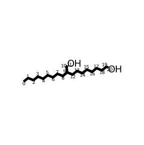 CCCCCCCCCC(CO)CCCCCCCCO